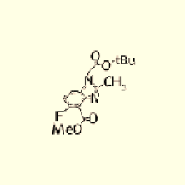 COC(=O)c1c(F)ccc2c1nc(C)n2CC(=O)OC(C)(C)C